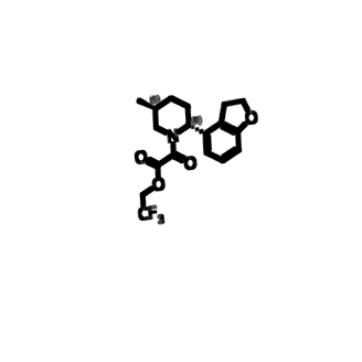 C[C@H]1CC[C@H](c2cccc3c2CCO3)N(C(=O)C(=O)OCC(F)(F)F)C1